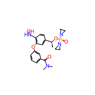 C[C@H](OP(=O)(N1CC1)N1CC1)c1ccc(NO)c(Oc2cccc(C(=O)N(C)C)c2)c1